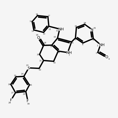 O=CNc1cc(-c2[nH]c3c(c2Nc2ccccc2)C(=O)CC(CSc2ccc(F)c(F)c2)C3)ccn1